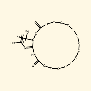 [2H]C([2H])([2H])N1CC(=O)OCCCCCCCCCCCCCC(=O)NC1=NC(=O)O